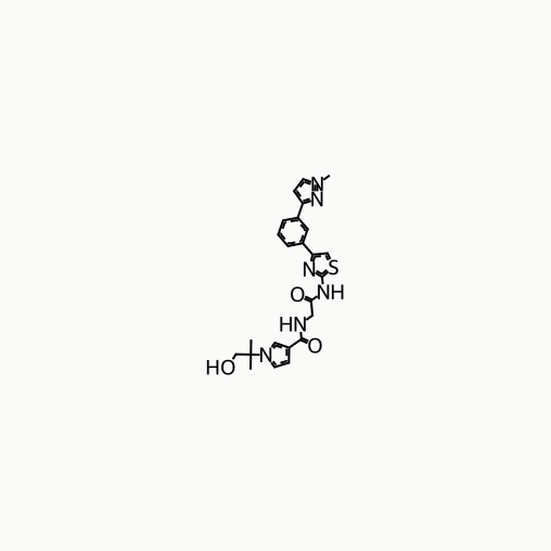 Cn1ccc(-c2cccc(-c3csc(NC(=O)CNC(=O)c4ccn(C(C)(C)CO)c4)n3)c2)n1